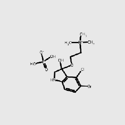 C[N+](C)(C)CCOC1(O)CNc2ccc(Br)c(Cl)c21.O=P([O-])(O)O